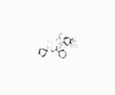 O=S(=O)(CC(CNc1ccccc1)C1CCCCC1)c1cc(Br)c(Cl)cc1F